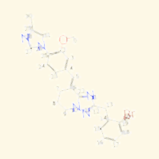 COc1cc(C=C2CCCn3nc(Cc4ccccc4Br)nc32)ccc1-n1cnc(C)c1